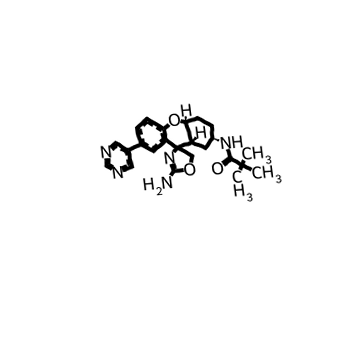 CC(C)(C)C(=O)N[C@H]1CC[C@@H]2Oc3ccc(-c4cncnc4)cc3C3(COC(N)=N3)[C@H]2C1